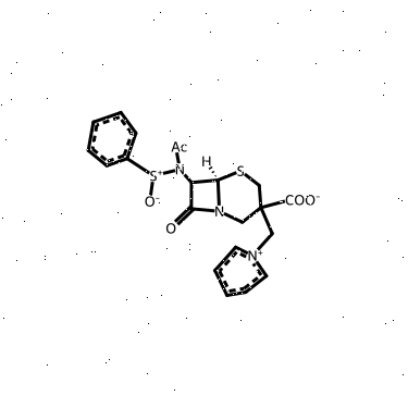 CC(=O)N(C1C(=O)N2CC(C[n+]3ccccc3)(C(=O)[O-])CS[C@H]12)[S+]([O-])c1ccccc1